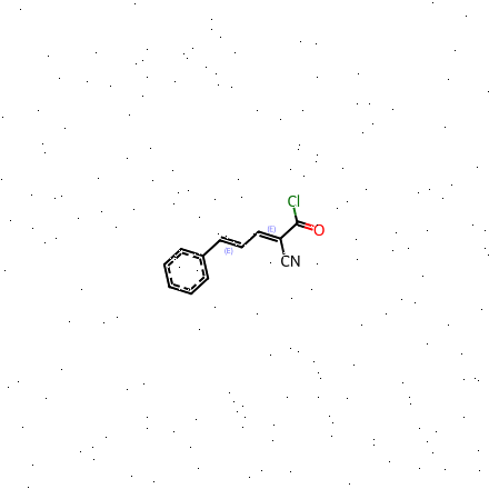 N#C/C(=C\C=C\c1ccccc1)C(=O)Cl